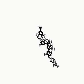 O=C1c2c(F)cc(C3CC3)cc2OCCN1c1cc(F)cc(-c2ccnc3[nH]c(-c4cc(F)c(CN5CCN(CC(F)F)CC5)cn4)cc23)c1CO